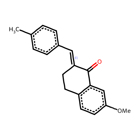 COc1ccc2c(c1)C(=O)/C(=C/c1ccc(C)cc1)CC2